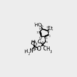 CCc1cc(CC(C)(C)OC(N)=O)ccc1O